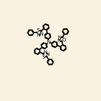 c1ccc(-c2nnc(-c3ccccc3-c3ccc(N(c4ccc(-c5ccccc5-c5nnc(-c6ccccc6)s5)cc4)c4ccc(-c5ccccc5-c5nnc(-c6ccccc6)s5)cc4)cc3)o2)cc1